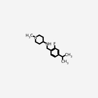 CC(C)c1ccc(CNC2CCN(C)CC2)c(F)c1